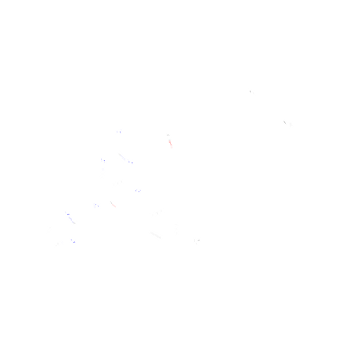 COc1ccc(CNc2nc(N3CCCC3COC(=O)CCOC[C@@H](CO[N+](=O)[O-])O[N+](=O)[O-])ncc2C(=O)NCc2ncccn2)cc1Cl